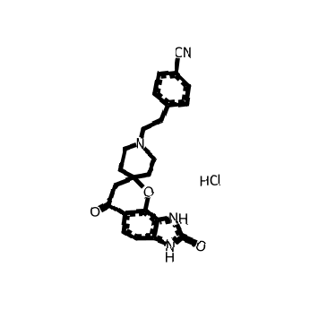 Cl.N#Cc1ccc(CCN2CCC3(CC2)CC(=O)c2ccc4[nH]c(=O)[nH]c4c2O3)cc1